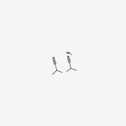 CC(C)C#N.CC(C)C#N.N